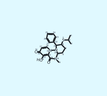 CC(C)SC1CCC2N(C)C(=O)c3c(O)c(=O)ccn3N2C1c1ccccc1